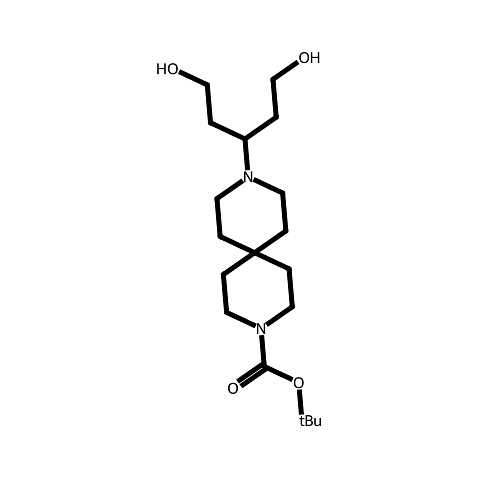 CC(C)(C)OC(=O)N1CCC2(CC1)CCN(C(CCO)CCO)CC2